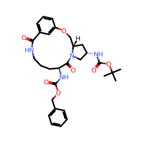 CC(C)(C)OC(=O)N[C@H]1C[C@H]2COc3cccc(c3)C(=O)NCCC[C@H](NC(=O)OCc3ccccc3)C(=O)N2C1